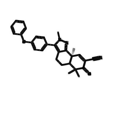 Cn1nc2c(c1-c1ccc(Oc3ccccc3)cc1)CCC1C(C)(C)C(=O)C(C#N)=C[C@]21C